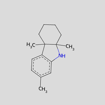 Cc1ccc2c(c1)NC1(C)CCCCC21C